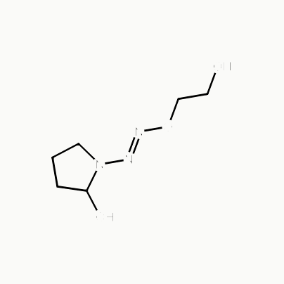 OCCON=NN1CCCC1O